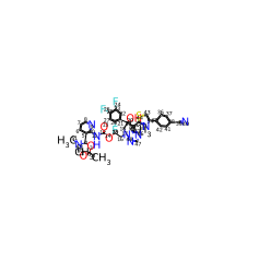 CC(=O)OC(c1cccnc1NC(=O)OCC[N+]1(C[C@](O)(c2cc(F)c(F)cc2F)[C@@H](C)c2nc(-c3ccc(C#N)cc3)cs2)C=NC=N1)N(C)C